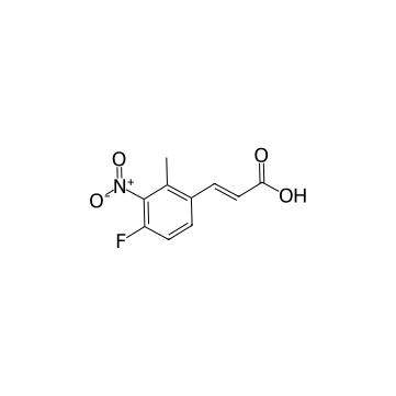 Cc1c(C=CC(=O)O)ccc(F)c1[N+](=O)[O-]